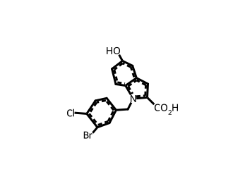 O=C(O)c1cc2cc(O)ccc2n1Cc1ccc(Cl)c(Br)c1